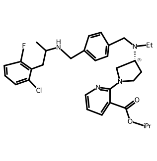 CCN(Cc1ccc(CNC(C)Cc2c(F)cccc2Cl)cc1)[C@@H]1CCN(c2ncccc2C(=O)OC(C)C)C1